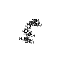 CC(C)(C)[Si](C)(C)OC1CCC(n2cccc(N(CC[Si](C)(C)C)C(=O)O)c2=O)CC1